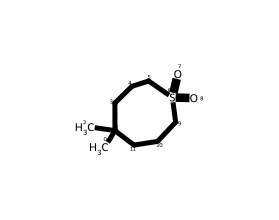 CC1(C)CCCS(=O)(=O)CCC1